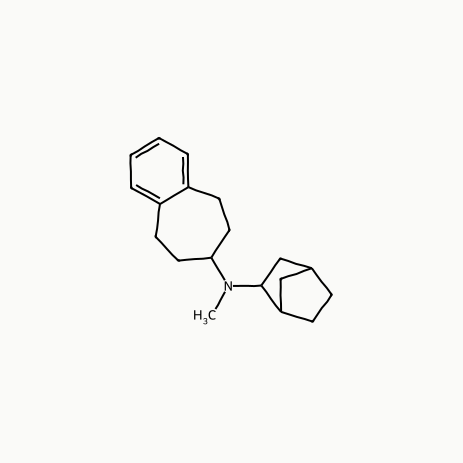 CN(C1CCc2ccccc2CC1)C1CC2CCC1C2